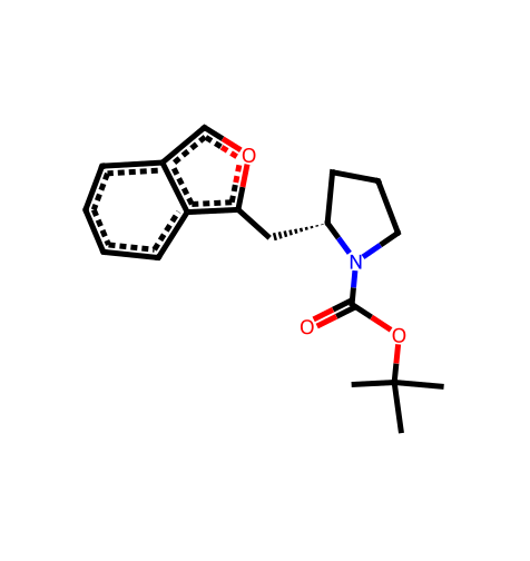 CC(C)(C)OC(=O)N1CCC[C@H]1Cc1occ2ccccc12